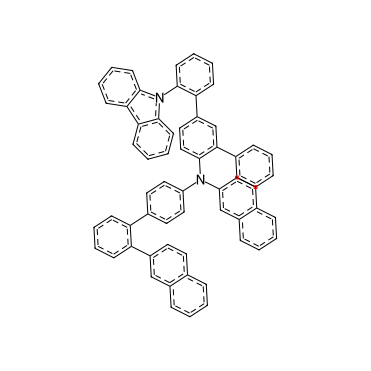 c1ccc(-c2cc(-c3ccccc3-n3c4ccccc4c4ccccc43)ccc2N(c2ccc(-c3ccccc3-c3ccc4ccccc4c3)cc2)c2ccc3ccccc3c2)cc1